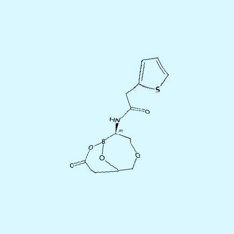 O=C(Cc1cccs1)N[C@H]1COCC2CC(=O)OB1O2